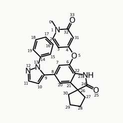 Cn1ccc(Oc2cc(-c3ccnn3-c3ccccc3)cc3c2NC(=O)C32CCCC2)cc1=O